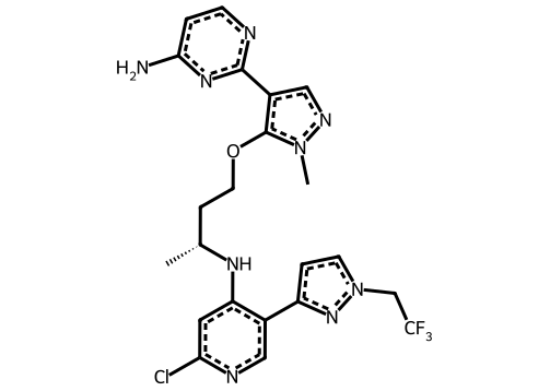 C[C@H](CCOc1c(-c2nccc(N)n2)cnn1C)Nc1cc(Cl)ncc1-c1ccn(CC(F)(F)F)n1